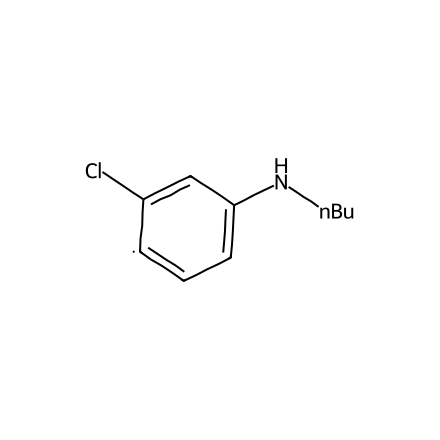 CCCCNc1cc[c]c(Cl)c1